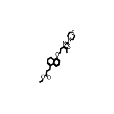 CCOC(=O)CCC1=CCCc2c(OCCc3nc(N4CCSCC4)sc3C)cccc21